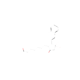 O=C(O)CCCCCCC1C(=O)CC(O)(O)C1/C=C/c1ccccc1F